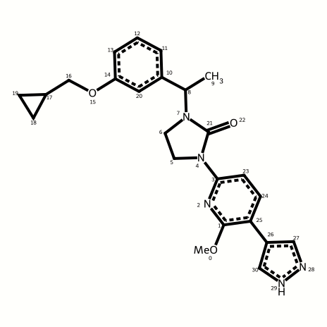 COc1nc(N2CCN(C(C)c3cccc(OCC4CC4)c3)C2=O)ccc1-c1cn[nH]c1